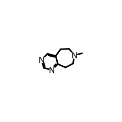 CN1CCc2cncnc2CC1